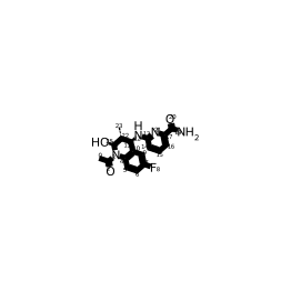 CC(=O)N1c2ccc(F)cc2[C@H](Nc2cccc(C(N)=O)n2)[C@@H](C)[C@@H]1O